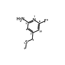 CSCc1cc(N)nc(F)c1